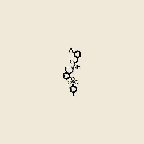 COc1cccc(CC(=O)N/N=C/c2c(F)cccc2OS(=O)(=O)c2ccc(C)cc2)c1